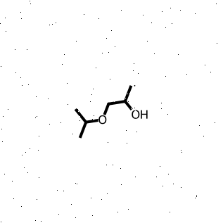 [CH2]C(O)COC(C)C